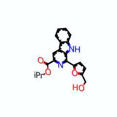 CC(C)OC(=O)c1cc2c([nH]c3ccccc32)c(-c2ccc(CO)o2)n1